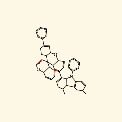 CC1C=CC2=C(C1)C1C(C)CC=C(C3=CC4C(C=C3)OC3C=C(c5ccccc5)CCC3C43C4=CCCCC4OC4C=CC=CC43)C1N2c1ccccc1